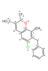 Cc1c(Cc2ccccc2)c(Cl)cc2c1OC(C(F)(F)F)C(C(=O)O)=C2